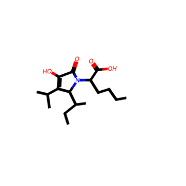 CCCCC(C(=O)O)N1C(=O)C(O)=C(C(C)C)C1C(C)CC